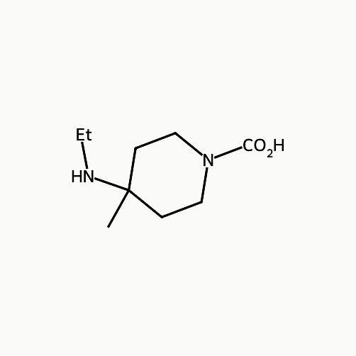 CCNC1(C)CCN(C(=O)O)CC1